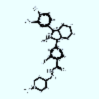 CN1CCC(ONC(=O)c2ccc(C3C4CCCCC4C(c4ccc(C#N)c(C(F)(F)F)c4)[NH+]3[O-])cc2F)CC1